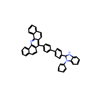 c1ccc(N2c3ccccc3NC2c2ccc(-c3ccc(-c4c5ccc6ccccc6c5nc5c4ccc4ccccc45)cc3)cc2)cc1